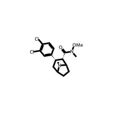 CON(C)C(=O)[C@@H]1C2CCC(C[C@@H]1c1ccc(Cl)c(Cl)c1)N2C